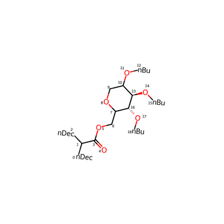 CCCCCCCCCCC(CCCCCCCCCC)C(=O)OCC1OCC(OCCCC)[C@@H](OCCCC)[C@@H]1OCCCC